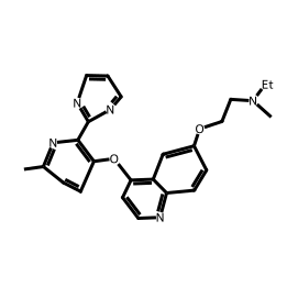 CCN(C)CCOc1ccc2nccc(Oc3ccc(C)nc3-c3ncccn3)c2c1